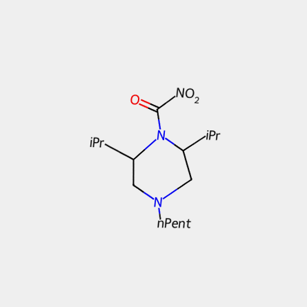 CCCCCN1CC(C(C)C)N(C(=O)[N+](=O)[O-])C(C(C)C)C1